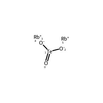 O=[Te]([O-])[O-].[Rb+].[Rb+]